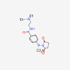 CCN(CC)CCNC(=O)c1ccc(N(C(=O)O)N2C(=O)CCC2=O)cc1